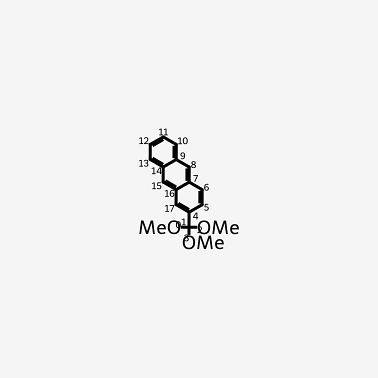 COC(OC)(OC)c1ccc2cc3ccccc3cc2c1